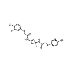 CC(C)c1ccc(OCC(=O)NC2(C)C=C(NC(=O)COc3ccc(Cl)c(F)c3)C2)cn1